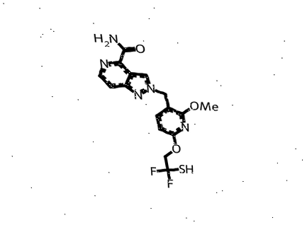 COc1nc(OCC(F)(F)S)ccc1Cn1cc2c(C(N)=O)nccc2n1